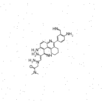 CN(C)C(=O)CN(N)/C=C(\N)C(=N)c1c(N)ccc2nc(-c3ccc(N)c(C=N)c3)c3c(c12)CCCC3